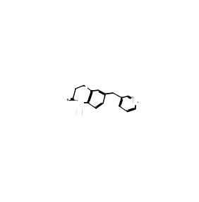 O=C1CCc2cc(Cc3cccnc3)ccc2N1